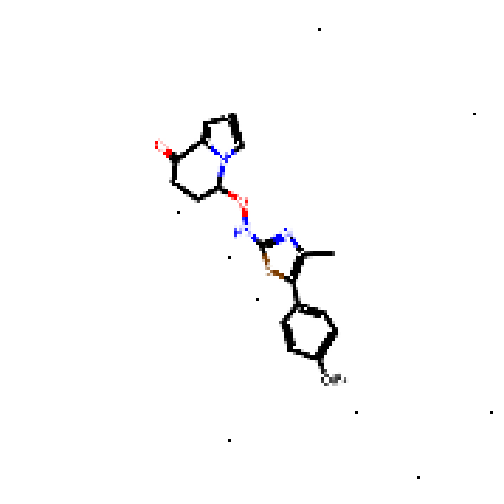 Cc1nc(NOC2CCC(=O)c3cccn32)sc1-c1ccc(OCC(C)C)cc1